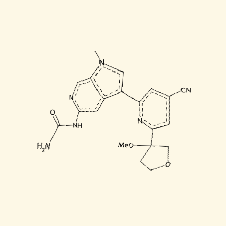 COC1(c2cc(C#N)cc(-c3cn(C)c4cnc(NC(N)=O)cc34)n2)CCOC1